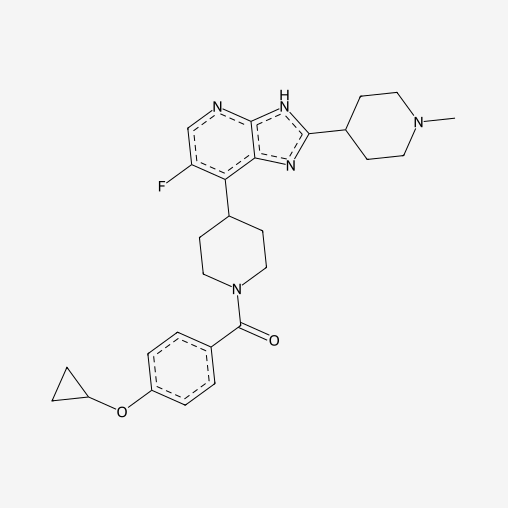 CN1CCC(c2nc3c(C4CCN(C(=O)c5ccc(OC6CC6)cc5)CC4)c(F)cnc3[nH]2)CC1